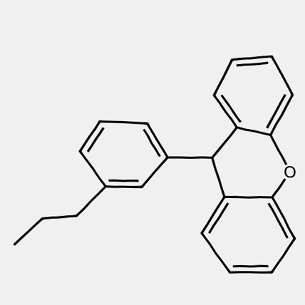 CCCc1cccc(C2c3ccccc3Oc3ccccc32)c1